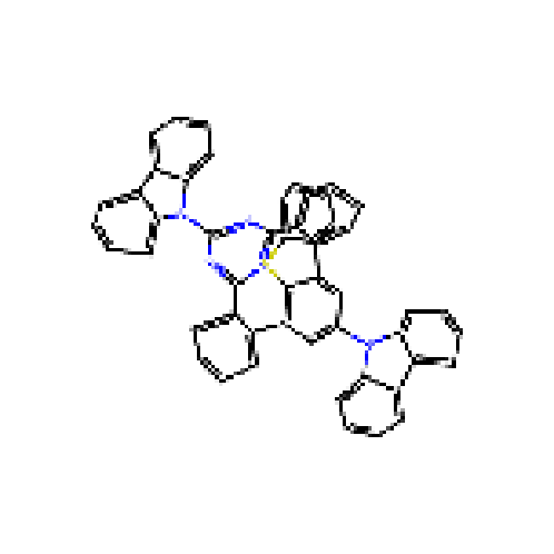 c1ccc(-c2nc(-c3ccccc3-c3cc(-n4c5ccccc5c5ccccc54)cc4c3sc3ccccc34)nc(-n3c4ccccc4c4ccccc43)n2)cc1